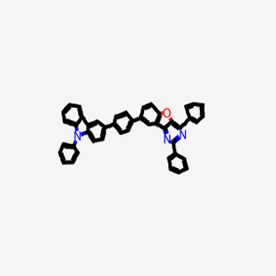 c1ccc(-c2nc(-c3ccccc3)c3oc4ccc(-c5ccc(-c6ccc7c(c6)c6ccccc6n7-c6ccccc6)cc5)cc4c3n2)cc1